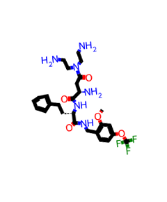 COc1cc(OC(F)(F)F)ccc1CNC(=O)[C@H](CCc1ccccc1)NC(=O)[C@@H](N)CC(=O)N(CCN)CCN